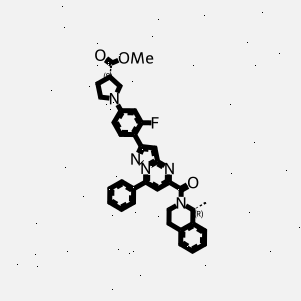 COC(=O)[C@H]1CCN(c2ccc(-c3cc4nc(C(=O)N5CCc6ccccc6[C@H]5C)cc(-c5ccccc5)n4n3)c(F)c2)C1